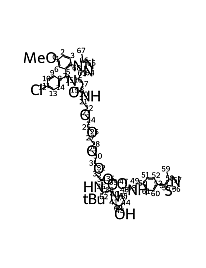 COc1ccc2c(c1)C(c1ccc(Cl)cc1)=NC(CC(=O)NCCOCCOCCOCCOCC(=O)NC(C(=O)N1C[C@H](O)C[C@H]1C(=O)NCc1ccc(-c3scnc3C)cc1)C(C)(C)C)c1nnc(C)n1-2